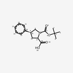 CC(C)(C)OC(=O)N1C[C@H](c2ccccc2)CC1C(=O)O